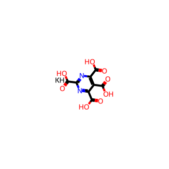 O=C(O)c1nc(C(=O)O)c(C(=O)O)c(C(=O)O)n1.[KH]